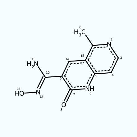 Cc1nccc2[nH]c(=O)c(C(N)=NO)cc12